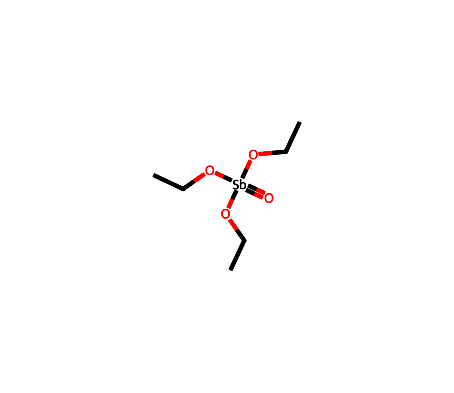 CC[O][Sb](=[O])([O]CC)[O]CC